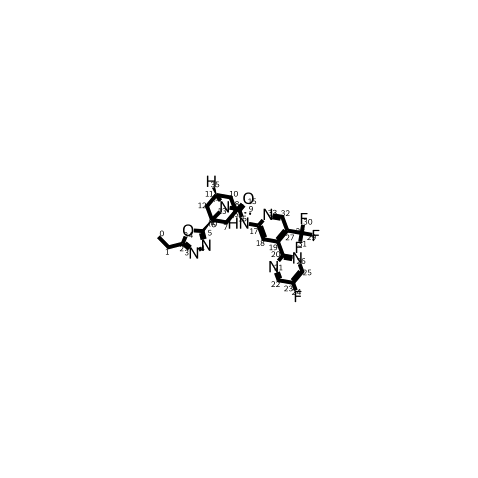 CCc1nnc([C@@]23C[C@@H](C)C[C@@H](C2)N3C(=O)Nc2cc(-c3ncc(F)cn3)c(C(F)(F)F)cn2)o1